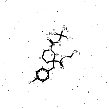 CCOC(=O)C1(Cc2ccc(Br)cc2)CCCN(C(=O)OC(C)(C)C)N1